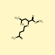 COC(=O)C(CC(C)C)SCCCC(C)F